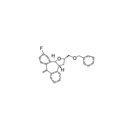 C=C1c2ccccc2[C@H]2C[C@H](COCc3ccccc3)O[C@@H]2c2cc(F)ccc21